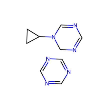 C1=NC=NCN1C1CC1.c1ncncn1